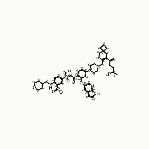 C=C(CCC(F)F)C1=C(CN2CCN(c3ccc(C(=O)NS(=O)(=O)c4ccc(NCC5CCOCC5)c([N+](=O)[O-])c4)c(Oc4cnc5[nH]ccc5c4)c3)CC2)CCC2(CCC2)C1